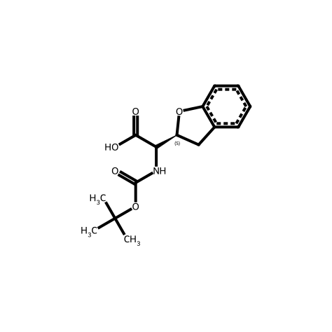 CC(C)(C)OC(=O)NC(C(=O)O)[C@@H]1Cc2ccccc2O1